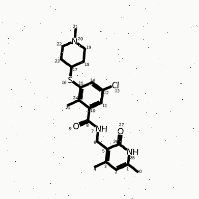 Cc1cc(C)c(CNC(=O)c2cc(Cl)cc(SC3CCN(C)CC3)c2C)c(=O)[nH]1